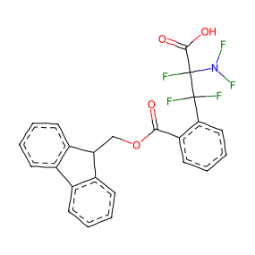 O=C(OCC1c2ccccc2-c2ccccc21)c1ccccc1C(F)(F)C(F)(C(=O)O)N(F)F